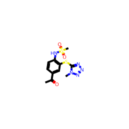 CC(=O)c1ccc(NS(C)(=O)=O)c(Sc2nnnn2C)c1